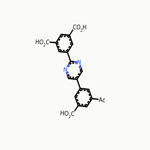 CC(=O)c1cc(C(=O)O)cc(-c2cnc(-c3cc(C(=O)O)cc(C(=O)O)c3)nc2)c1